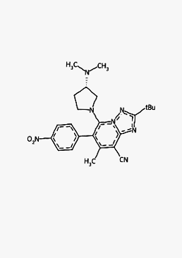 Cc1c(-c2ccc([N+](=O)[O-])cc2)c(N2CC[C@H](N(C)C)C2)n2nc(C(C)(C)C)nc2c1C#N